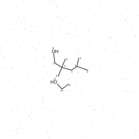 CC(C)CC(C)(C)CO.CCO